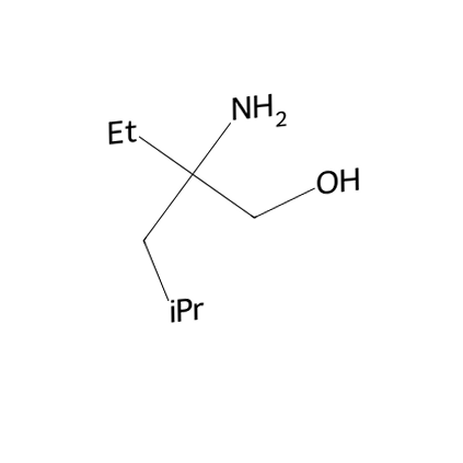 CCC(N)(CO)CC(C)C